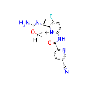 C[C@]1(c2nc(NC(=O)c3ccc(C#N)cn3)ccc2F)N=C(N)O[C@H]2C[C@H]21